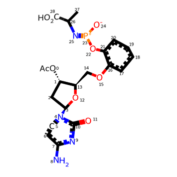 CC(=O)O[C@H]1C[C@H](n2ccc(N)nc2=O)O[C@@H]1COc1ccccc1O/[P+]([O-])=N/C(C)C(=O)O